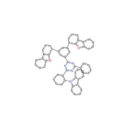 c1ccc(-c2nc(-c3cc(-c4cccc5c4oc4ccccc45)cc(-c4cccc5c4oc4ccccc45)c3)nc(-c3ccccc3-n3c4ccccc4c4ccccc43)n2)cc1